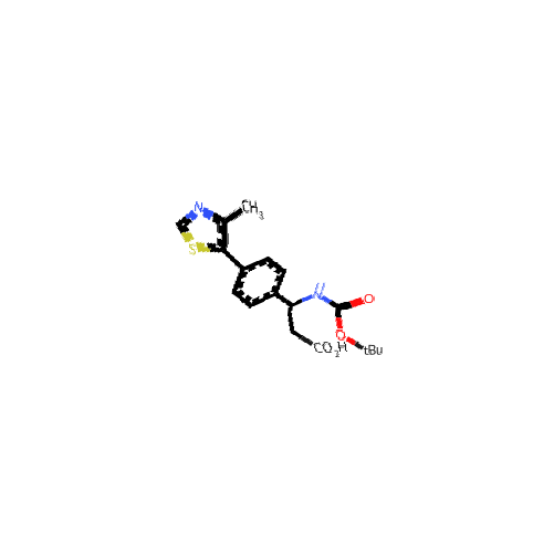 Cc1ncsc1-c1ccc(C(CC(=O)O)NC(=O)OC(C)(C)C)cc1